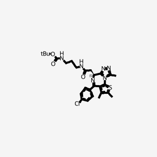 Cc1sc2c(c1C)C(c1ccc(Cl)cc1)=N[C@@H](CC(=O)NCCCNC(=O)OC(C)(C)C)c1nnc(C)n1-2